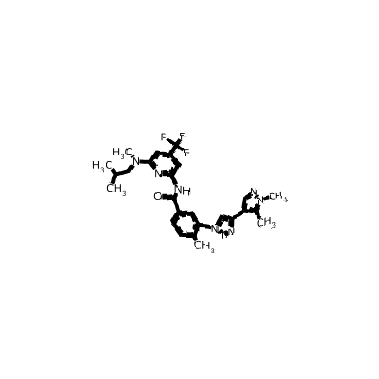 Cc1ccc(C(=O)Nc2cc(C(F)(F)F)cc(N(C)CC(C)C)n2)cc1-n1cc(-c2cnn(C)c2C)nn1